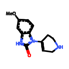 COc1ccc2c(c1)[nH]c(=O)n2C1=CCNCC1